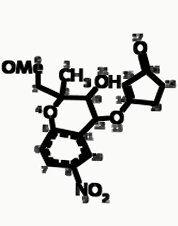 COCC1(C)Oc2ccc([N+](=O)[O-])cc2C(OC2=CC(=O)CC2)C1O